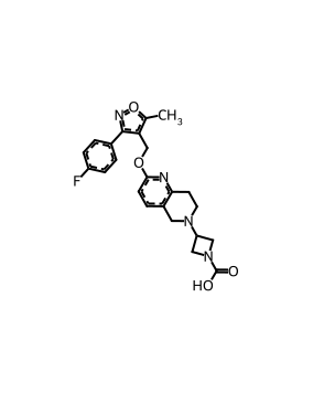 Cc1onc(-c2ccc(F)cc2)c1COc1ccc2c(n1)CCN(C1CN(C(=O)O)C1)C2